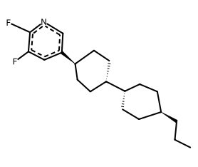 CCC[C@H]1CC[C@H]([C@H]2CC[C@H](c3cnc(F)c(F)c3)CC2)CC1